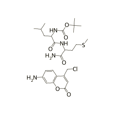 CSCCC(NC(=O)C(CC(C)C)NC(=O)OC(C)(C)C)C(N)=O.Nc1ccc2c(CCl)cc(=O)oc2c1